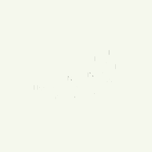 CC(C)(C)C(NC(=O)C(F)(F)F)C(=O)N1CCC[C@H]1C(=O)O